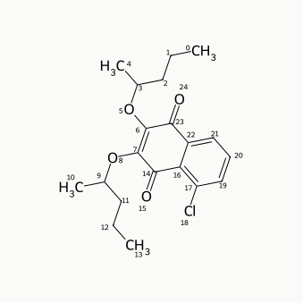 CCCC(C)OC1=C(OC(C)CCC)C(=O)c2c(Cl)cccc2C1=O